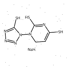 SC1=CCN(n2nnnc2S)C(S)=N1.[NaH]